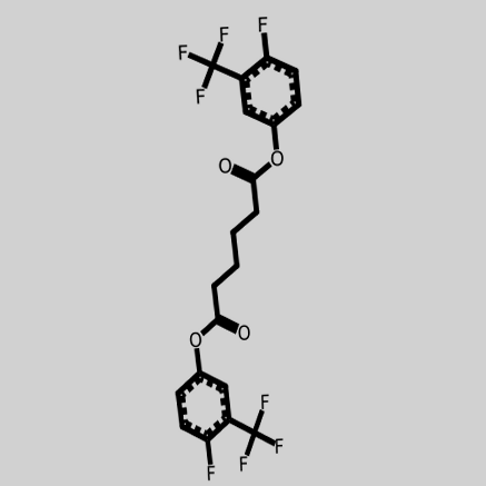 O=C(CCCCC(=O)Oc1ccc(F)c(C(F)(F)F)c1)Oc1ccc(F)c(C(F)(F)F)c1